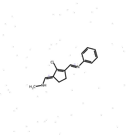 CN/C=C1\CCC(/C=N/c2ccccc2)=C1Cl